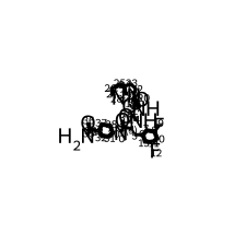 CN(C(=O)[C@H](Cc1cc(F)cc(F)c1)NC(=O)NS(=O)(=O)N1CCc2cccnc21)c1ccc(C(N)=O)cc1